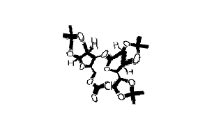 CC1(C)OCC([C@H]2OC(O[C@@H]3[C@H]4OC(C)(C)O[C@H]4O[C@@H]3COC(=O)Cl)[C@H]3OC(C)(C)O[C@@H]23)O1